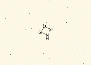 N1[Si]O[Si]1